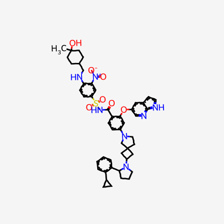 CC1(O)CCC(CNc2ccc(S(=O)(=O)NC(=O)c3ccc(N4CCC5(CC(N6CCCC6c6ccccc6C6CC6)C5)C4)cc3Oc3cnc4[nH]ccc4c3)cc2[N+](=O)[O-])CC1